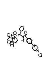 O=C(N[C@H](C(=O)N1CC[C@H]2OCC(=O)[C@H]21)C1CCCC1)c1ccc(N2CCN(C3CCC3)CC2)cc1